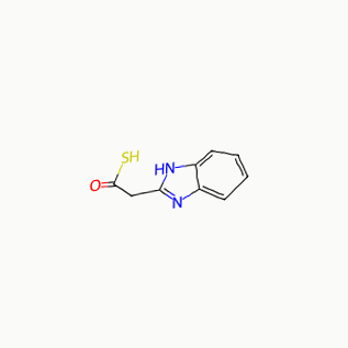 O=C(S)Cc1nc2ccccc2[nH]1